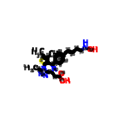 Cc1sc2c(c1C)C(c1ccc(CCCCNO)cc1)=NC(CC(=O)O)c1nnc(C)n1-2